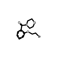 O=C(c1ccccc1OCCBr)N1CCOCC1